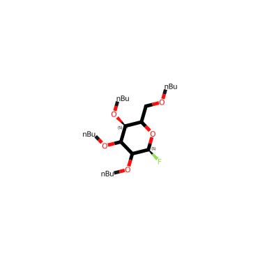 CCCCOCC1O[C@@H](F)C(OCCCC)C(OCCCC)[C@H]1OCCCC